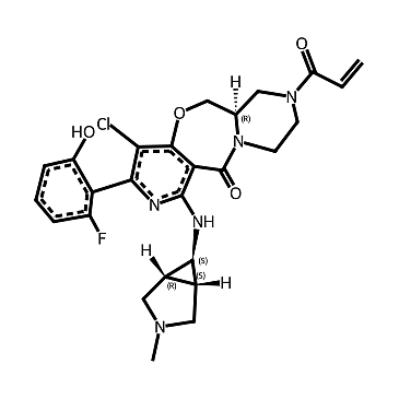 C=CC(=O)N1CCN2C(=O)c3c(N[C@H]4[C@@H]5CN(C)C[C@@H]54)nc(-c4c(O)cccc4F)c(Cl)c3OC[C@H]2C1